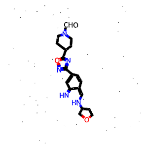 N=C1C=C(c2noc(C3CCN(C=O)CC3)n2)C=C/C1=C/NC1CCOC1